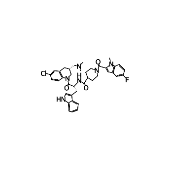 CN(C)C[C@H]1Cc2cc(Cl)ccc2N(C(=O)[C@@H](Cc2c[nH]c3ccccc23)NC(=O)C2CCN(C(=O)c3cc4cc(F)ccc4n3C)CC2)C1